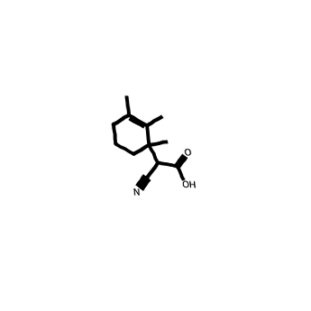 CC1=C(C)C(C)(C(C#N)C(=O)O)CCC1